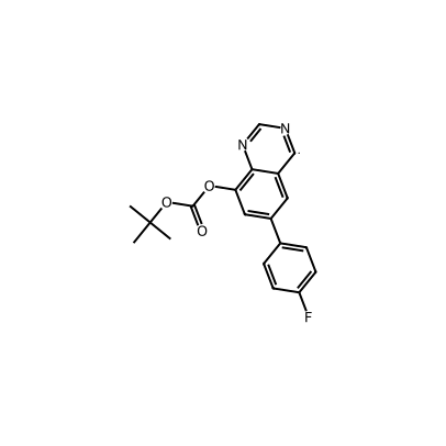 CC(C)(C)OC(=O)Oc1cc(-c2ccc(F)cc2)cc2[c]ncnc12